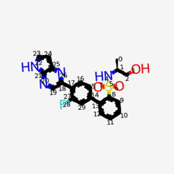 C[C@@H](CO)NS(=O)(=O)c1ccccc1-c1ccc(-c2cnc3[nH]ccc3n2)c(F)c1